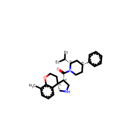 CCC(CC)[C@@H]1C[C@H](c2ccccc2)CCN1C(=O)[C@@H]1CNC[C@]12CCOc1c(C)cccc12